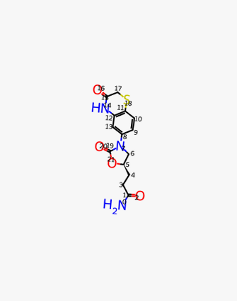 NC(=O)CC[C@@H]1CN(c2ccc3c(c2)NC(=O)CS3)C(=O)O1